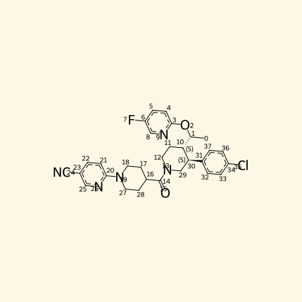 CC(Oc1ccc(F)cn1)[C@H]1CCN(C(=O)C2CCN(c3ccc(C#N)cn3)CC2)C[C@@H]1c1ccc(Cl)cc1